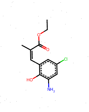 CCOC(=O)C(C)=Cc1cc(Cl)cc(N)c1O